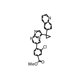 COC(=O)c1ccc(-c2cnc3ncc(C4(c5ccc6ncccc6c5)CC4)n3c2)c(Cl)c1